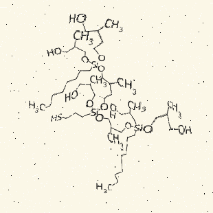 CCCCCCCC[Si](CC(C)CO)(OCC(C)CO)OCC(C)CO[Si](CCCS)(OCCC(C)CO[Si](CCCCCCCC)(OCCC(C)CO)OCC(C)CO)OCC(C)CO